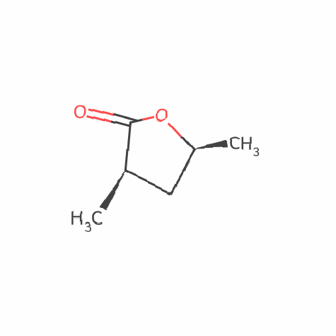 C[C@@H]1C[C@H](C)OC1=O